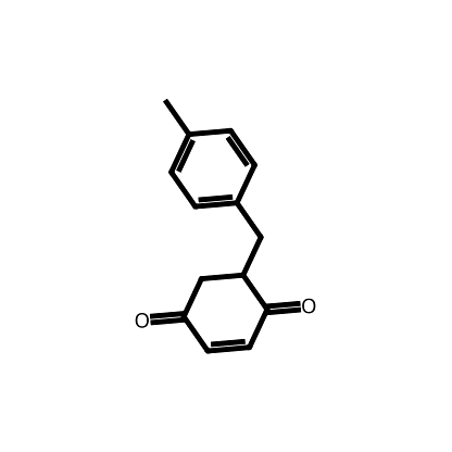 Cc1ccc(CC2CC(=O)C=CC2=O)cc1